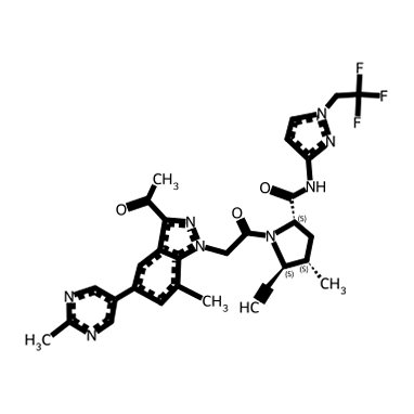 C#C[C@@H]1[C@@H](C)C[C@@H](C(=O)Nc2ccn(CC(F)(F)F)n2)N1C(=O)Cn1nc(C(C)=O)c2cc(-c3cnc(C)nc3)cc(C)c21